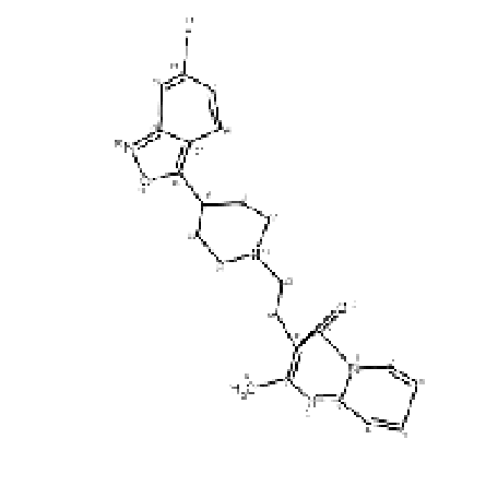 Cc1nc2ccccn2c(=O)c1CCN1CCC(c2onc3cc(F)ccc23)CC1